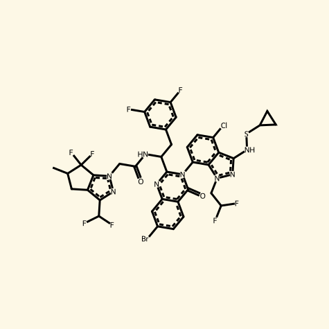 CC1Cc2c(C(F)F)nn(CC(=O)NC(Cc3cc(F)cc(F)c3)c3nc4cc(Br)ccc4c(=O)n3-c3ccc(Cl)c4c(NSC5CC5)nn(CC(F)F)c34)c2C1(F)F